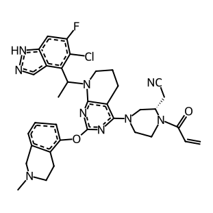 C=CC(=O)N1CCN(c2nc(Oc3cccc4c3CCN(C)C4)nc3c2CCCN3C(C)c2c(Cl)c(F)cc3[nH]ncc23)C[C@@H]1CC#N